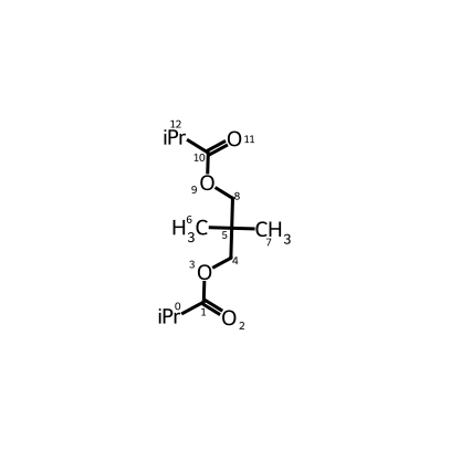 CC(C)C(=O)OCC(C)(C)COC(=O)C(C)C